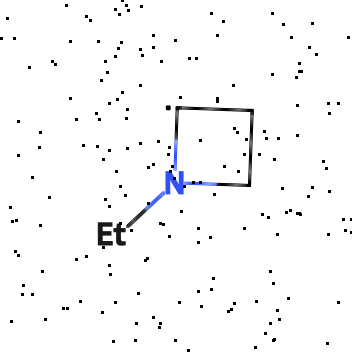 CCN1[CH]CC1